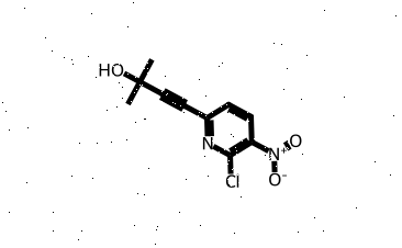 CC(C)(O)C#Cc1ccc([N+](=O)[O-])c(Cl)n1